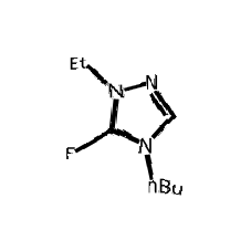 CCCCN1C=NN(CC)C1F